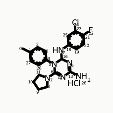 Cc1ccc(N2C(N3CCCC3)=NC(N)=NC2Nc2ccc(F)c(Cl)c2)cc1.Cl